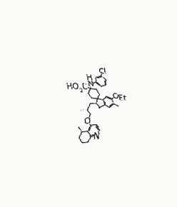 CCOc1cc2c(cc1C)CC(C[C@@H](C)COc1ccnc3c1[C@H](C)CCC3)C21CCC(Nc2cccc(Cl)c2)(C(=O)O)CC1